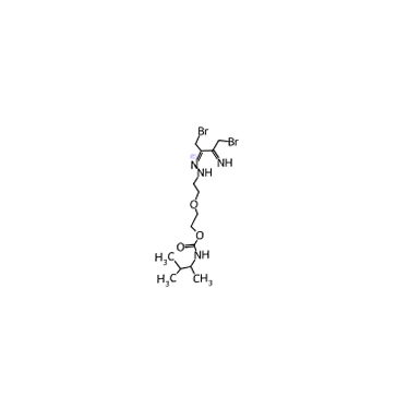 CC(C)C(C)NC(=O)OCCOCCN/N=C(/CBr)C(=N)CBr